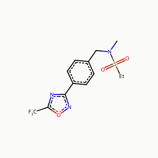 CCS(=O)(=O)N(C)Cc1ccc(-c2noc(C(F)(F)F)n2)cc1